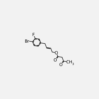 CC(=O)CC(=O)OCC=CCc1ccc(Br)c(F)c1